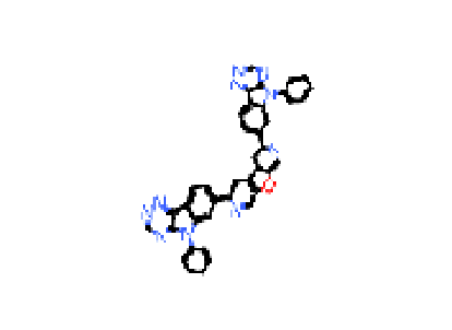 c1ccc(-n2c3cc(-c4cc5c(cn4)oc4cnc(-c6ccc7c8nncnc8n(-c8ccccc8)c7c6)cc45)ccc3c3nncnc32)cc1